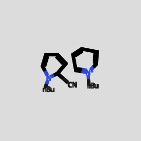 CCCCN1C=CC=CC1C#N.CCCC[n+]1ccccc1